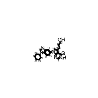 O=c1[nH]cnc2c1c(CCCO)cn2-c1ccc2c(c1)ncn2C1CCCCC1